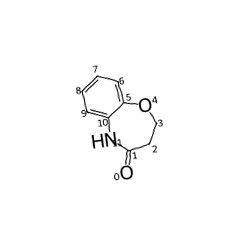 O=C1CCOc2ccccc2N1